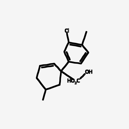 Cc1ccc(C2(C)C=CCC(C)C2)cc1Cl.O=C(O)O